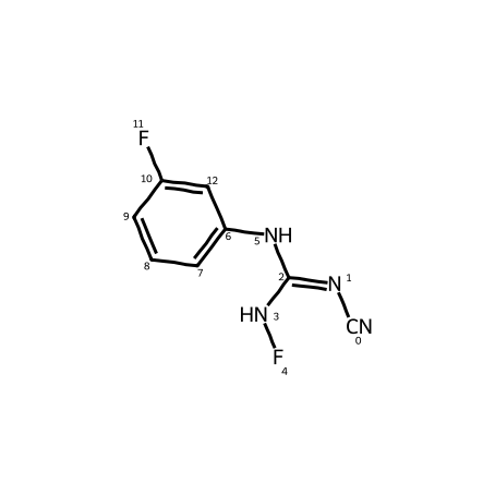 N#CN=C(NF)Nc1cccc(F)c1